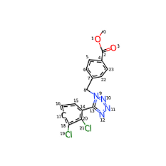 COC(=O)c1ccc(Cn2nnnc2-c2cccc(Cl)c2Cl)cc1